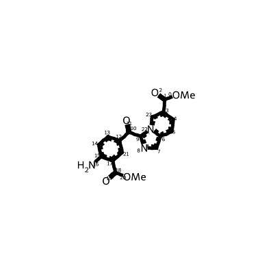 COC(=O)c1ccc2cnc(C(=O)c3ccc(N)c(C(=O)OC)c3)n2c1